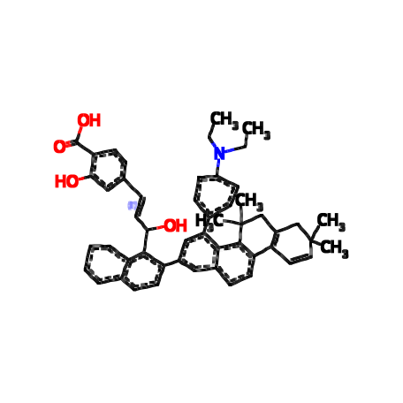 CCN(CC)c1ccc(-c2cc(-c3ccc4ccccc4c3C(O)/C=C/c3ccc(C(=O)O)c(O)c3)cc3ccc4c(c23)C(C)(C)CC2=C4C=CC(C)(C)C2)cc1